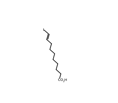 O=C(O)CCCCCCC/C=C/I